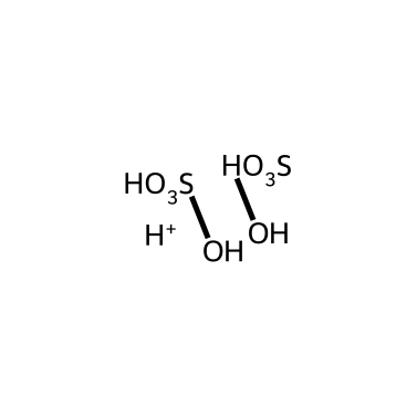 O=S(=O)(O)O.O=S(=O)(O)O.[H+]